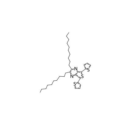 CCCCCCCCCCc1nc2c(-c3cccs3)sc(-c3cccs3)c2nc1CCCCCCCCCC